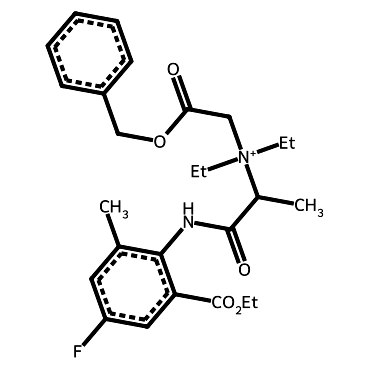 CCOC(=O)c1cc(F)cc(C)c1NC(=O)C(C)[N+](CC)(CC)CC(=O)OCc1ccccc1